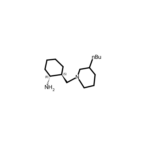 CCCCC1CCCN(C[C@@H]2CCCC[C@H]2N)C1